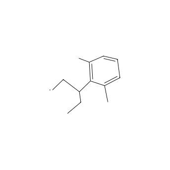 [CH2]CC(CC)c1c(C)cccc1C